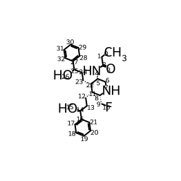 CCC(=O)N[C@@H]1CN[C@H](CF)[C@H](CCC(O)c2ccccc2)[C@@H]1CCC(O)c1ccccc1